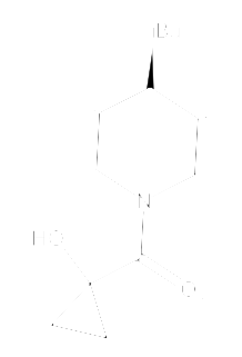 CC[C@H](C)C1CCN(C(=O)C2(O)CC2)CC1